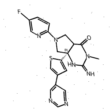 CN1C(=N)N[C@@]2(c3cc(-c4cncnc4)cs3)CN(c3ccc(F)cn3)CC2C1=O